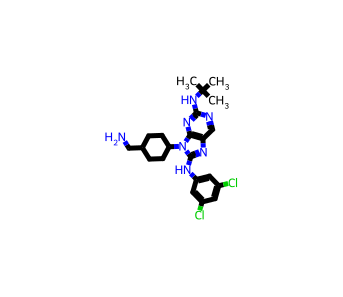 CC(C)(C)Nc1ncc2nc(Nc3cc(Cl)cc(Cl)c3)n(C3CCC(CN)CC3)c2n1